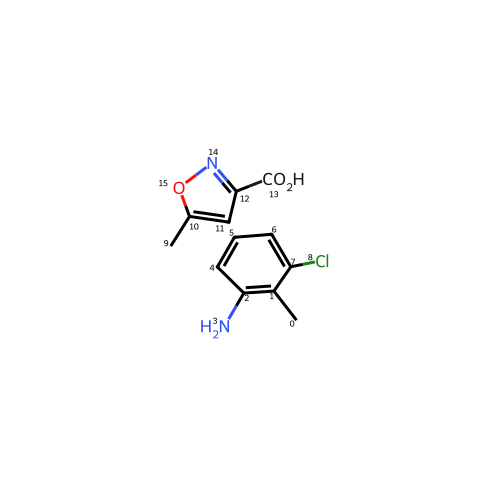 Cc1c(N)cccc1Cl.Cc1cc(C(=O)O)no1